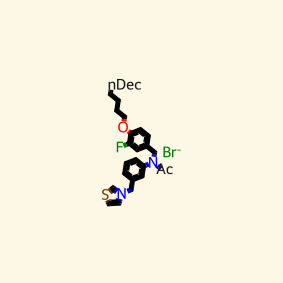 CCCCCCCCCCCCCCOc1ccc(CN(C(C)=O)c2cccc(C[n+]3ccsc3)c2)cc1F.[Br-]